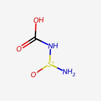 N[S+]([O-])NC(=O)O